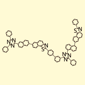 c1ccc(-c2nc(-c3ccccc3)nc(-c3ccc4cc(-c5ccc6c(ccc7nc(-c8ccc(-c9cccc(-c%10nc(-c%11ccccc%11)nc(-c%11cccc%12c(-c%13ccc%14c(ccc%15nc(-c%16ccccc%16)sc%15%14)c%13)cccc%11%12)n%10)c9)cc8)sc76)c5)ccc4c3)n2)cc1